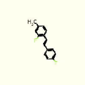 Cc1ccc(/C=C/c2ccc(F)cc2)c(F)c1